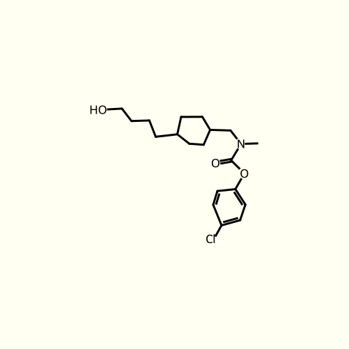 CN(CC1CCC(CCCCO)CC1)C(=O)Oc1ccc(Cl)cc1